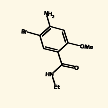 CCNC(=O)c1cc(Br)c(N)cc1OC